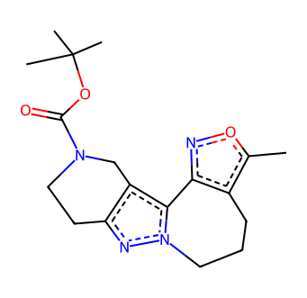 Cc1onc2c1CCCn1nc3c(c1-2)CN(C(=O)OC(C)(C)C)CC3